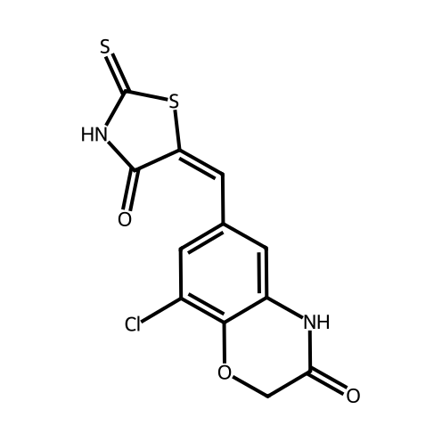 O=C1COc2c(Cl)cc(/C=C3/SC(=S)NC3=O)cc2N1